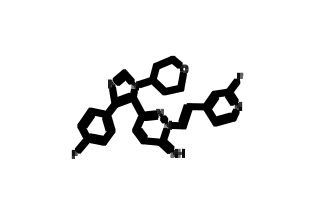 N=c1ccc(-c2c(-c3ccc(F)cc3)ncn2C2CCOCC2)nn1/C=C/c1ccnc(F)c1